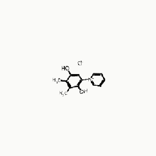 Cc1c(O)cc(-[n+]2ccccc2)c(O)c1C.[Cl-]